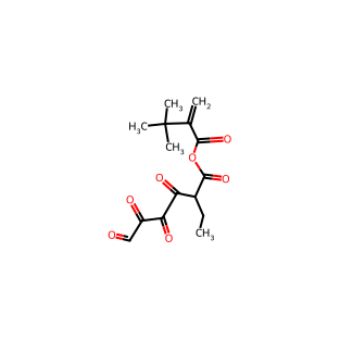 C=C(C(=O)OC(=O)C(CC)C(=O)C(=O)C(=O)C=O)C(C)(C)C